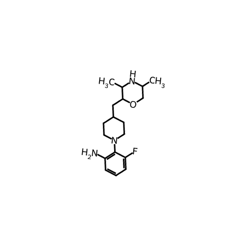 CC1COC(CC2CCN(c3c(N)cccc3F)CC2)C(C)N1